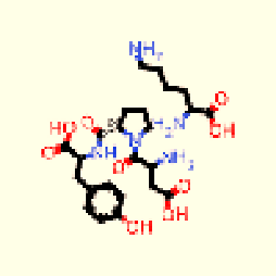 NC(CC(=O)O)C(=O)N1CCC[C@H]1C(=O)NC(Cc1ccc(O)cc1)C(=O)O.NCCCCC(N)C(=O)O